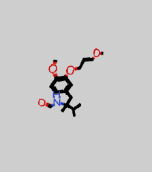 COCCCOc1cc(CC(C)(NC=O)C(C)C)ccc1OC